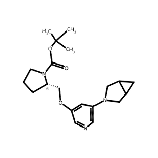 CC(C)(C)OC(=O)N1CCC[C@H]1COc1cncc(N2CC3CC3C2)c1